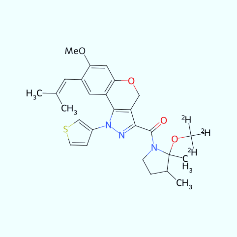 [2H]C([2H])([2H])OC1(C)C(C)CCN1C(=O)c1nn(-c2ccsc2)c2c1COc1cc(OC)c(C=C(C)C)cc1-2